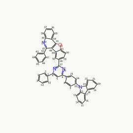 c1ccc(-c2cc(-c3ccc(-n4c5ccccc5c5ccccc54)cc3)nc(-c3ccc4oc5c6ccccc6nc(-c6ccccc6)c5c4c3)n2)cc1